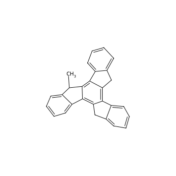 CC1c2ccccc2-c2c3c(c4c(c21)-c1ccccc1C4)-c1ccccc1C3